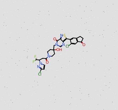 O=C1CCc2cc(-c3snc4c(=O)n(CC5(O)CCN(C(=O)CC(C(F)F)n6ccc(Cl)n6)CC5)cnc34)c(Cl)cc21